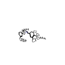 COC(=O)c1c(Cl)cc(/C=C/P(=O)(O)Oc2cccc(OC)c2)cc1Cl